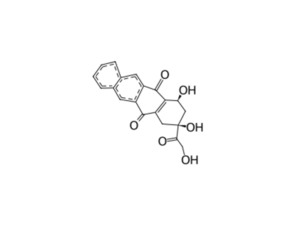 O=C1C2=C(C(=O)c3cc4ccccc4cc31)[C@@H](O)C[C@](O)(C(=O)CO)C2